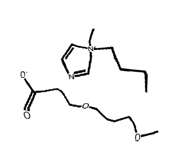 CCCC[N+]1(C)C=CN=C1.COCCOCCC(=O)[O-]